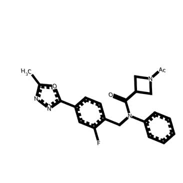 CC(=O)N1CC(C(=O)N(Cc2ccc(-c3nnc(C)o3)cc2F)c2ccccc2)C1